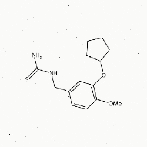 COc1ccc(CNC(N)=S)cc1OC1CCCC1